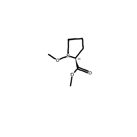 COC(=O)[C@@H]1CCCN1OC